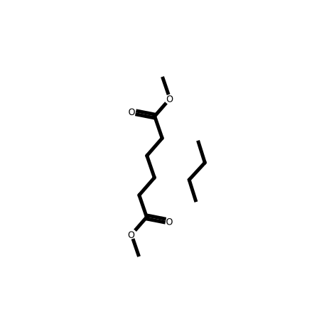 CCCC.COC(=O)CCCCC(=O)OC